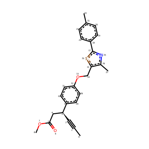 CC#C[C@@H](CC(=O)OC)c1ccc(OCc2sc(-c3ccc(C)cc3)nc2C)cc1